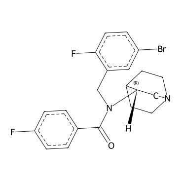 O=C(c1ccc(F)cc1)N(Cc1cc(Br)ccc1F)[C@H]1CN2CCC1CC2